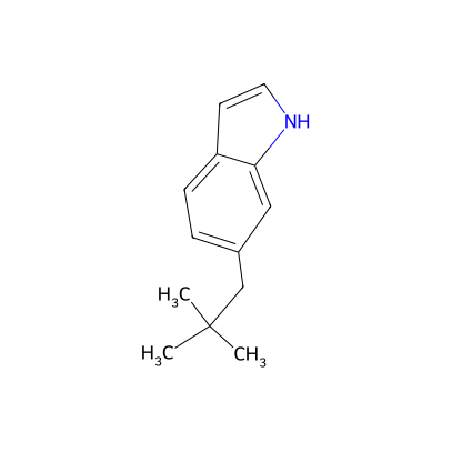 CC(C)(C)Cc1ccc2cc[nH]c2c1